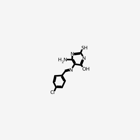 Nc1nc(S)nc(O)c1N=Cc1ccc(Cl)cc1